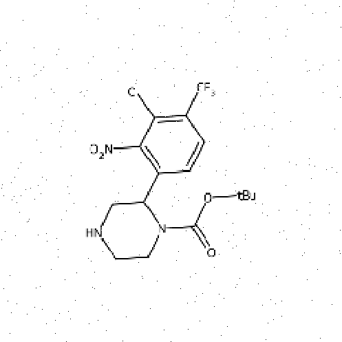 CC(C)(C)OC(=O)N1CCNCC1c1ccc(C(F)(F)F)c(Cl)c1[N+](=O)[O-]